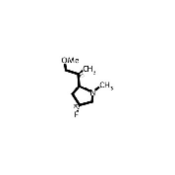 COC[C@@H](C)C1C[C@@H](F)CN1C